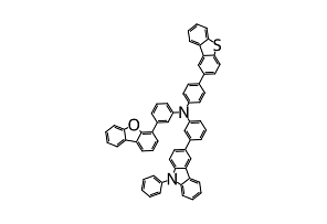 c1ccc(-n2c3ccccc3c3cc(-c4cccc(N(c5ccc(-c6ccc7sc8ccccc8c7c6)cc5)c5cccc(-c6cccc7c6oc6ccccc67)c5)c4)ccc32)cc1